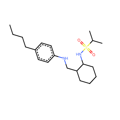 CCCCc1ccc(NCC2CCCCC2NS(=O)(=O)C(C)C)cc1